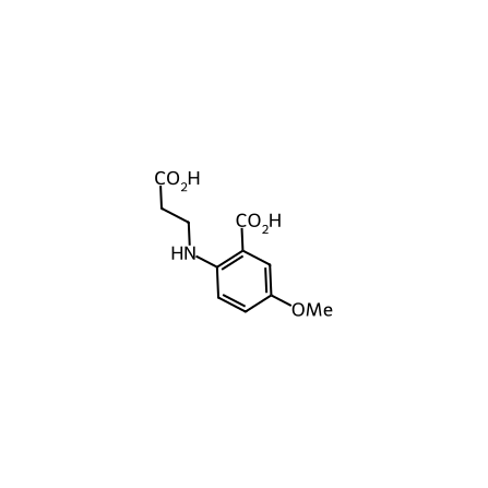 COc1ccc(NCCC(=O)O)c(C(=O)O)c1